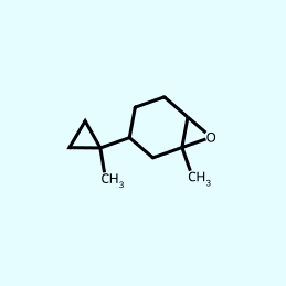 CC1(C2CCC3OC3(C)C2)CC1